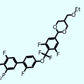 CCOCC1COC(c2cc(F)c(C(F)(F)Oc3ccc(-c4cc(F)c(F)c(P)c4)c(F)c3)c(F)c2)OC1